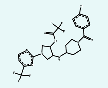 O=C(c1ccc(Cl)cc1)N1CCC(NC2CN(c3nccc(C(F)(F)F)n3)CC2OC(=O)C(F)(F)F)CC1